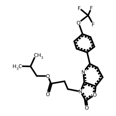 CC(C)COC(=O)CCn1c(=O)oc2ccc(-c3ccc(OC(F)(F)F)cc3)nc21